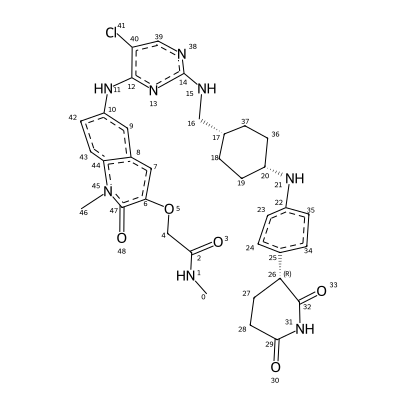 CNC(=O)COc1cc2cc(Nc3nc(NC[C@H]4CC[C@@H](Nc5ccc([C@H]6CCC(=O)NC6=O)cc5)CC4)ncc3Cl)ccc2n(C)c1=O